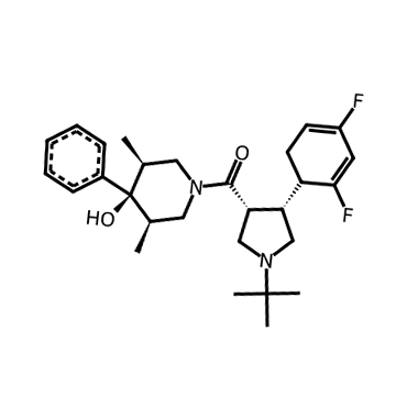 C[C@@H]1CN(C(=O)[C@H]2CN(C(C)(C)C)C[C@H]2C2CC=C(F)C=C2F)C[C@H](C)[C@@]1(O)c1ccccc1